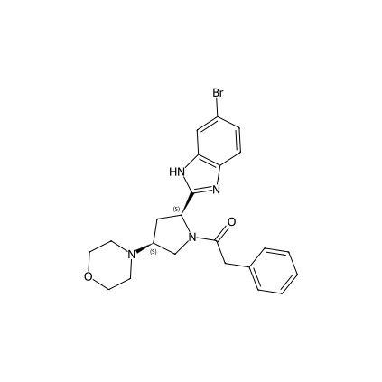 O=C(Cc1ccccc1)N1C[C@@H](N2CCOCC2)C[C@H]1c1nc2ccc(Br)cc2[nH]1